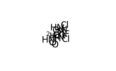 [2H]C([2H])(Oc1nc(Cl)c(F)c2nc(Cl)[nH]c(=O)c12)[C@@H]1COCCCN1